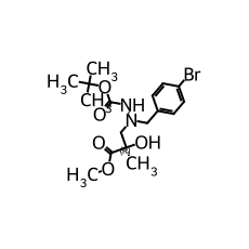 COC(=O)[C@](C)(O)CN(Cc1ccc(Br)cc1)NC(=O)OC(C)(C)C